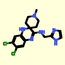 CN1CCC2(CC1)Nc1cc(Cl)c(Cl)cc1N=C2NCc1ncc[nH]1